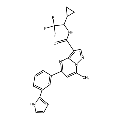 Cc1cc(-c2cccc(-c3ncc[nH]3)c2)nc2c(C(=O)NC(C3CC3)C(F)(F)F)cnn12